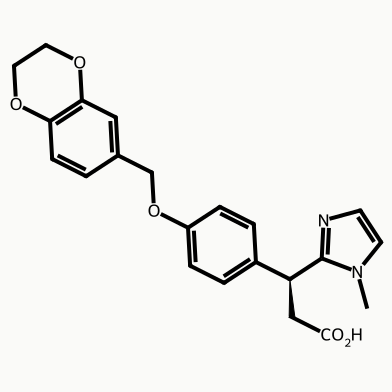 Cn1ccnc1[C@@H](CC(=O)O)c1ccc(OCc2ccc3c(c2)OCCO3)cc1